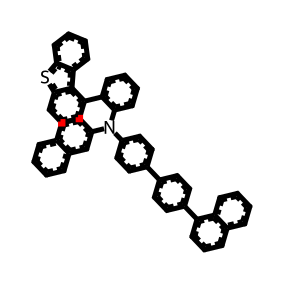 c1ccc(N(c2ccc(-c3ccc(-c4cccc5ccccc45)cc3)cc2)c2ccc3ccccc3c2)c(-c2cccc3sc4ccccc4c23)c1